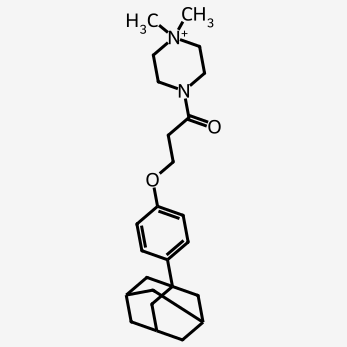 C[N+]1(C)CCN(C(=O)CCOc2ccc(C34CC5CC(CC(C5)C3)C4)cc2)CC1